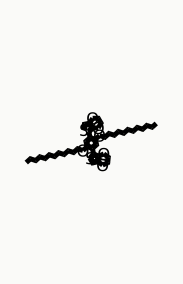 CCCCCCCCCCCCOc1cc(-c2scc3c2OCCO3)c(OCCCCCCCCCCCC)cc1-c1scc2c1OCCO2